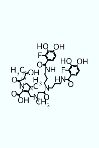 C[C@H]1C(CN(C)CC(=O)N(CCCNC(=O)c2ccc(O)c(O)c2F)CCCNC(=O)c2ccc(O)c(O)c2F)=C(C(=O)O)N2C(=O)[C@H]([C@@H](C)O)C12